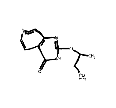 CCC(C)Oc1nc2cnccc2c(=O)[nH]1